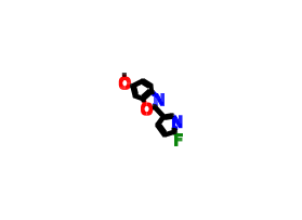 COc1ccc2nc(-c3ccc(F)nc3)oc2c1